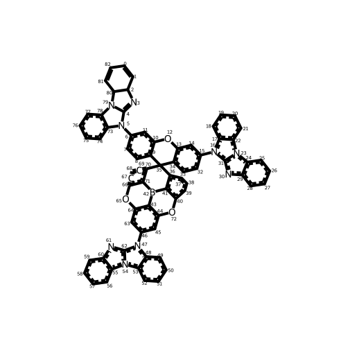 C1=CC2N=C3N(c4ccc5c(c4)Oc4cc(-n6c7ccccc7n7c8ccccc8nc67)ccc4C54c5cccc6c5B5c7c(cc(-n8c9ccccc9n9c%10ccccc%10nc89)cc7Oc7cccc4c75)O6)c4ccccc4N3C2C=C1